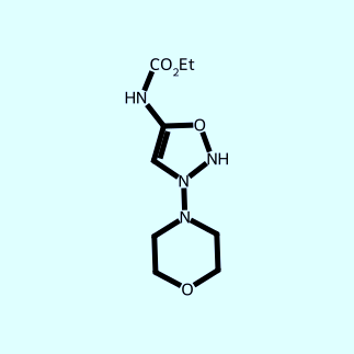 CCOC(=O)NC1=CN(N2CCOCC2)NO1